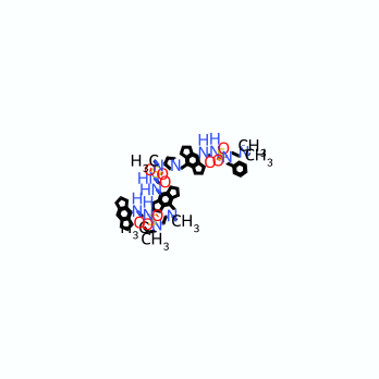 CC(C)CN(CCN(C)Cc1c2c(c(NC(=O)NS(=O)(=O)N(C)C3CCN(Cc4c5c(c(NC(=O)NS(=O)(=O)N(CCN(C)C)Cc6ccccc6)c6c4CCC6)CCC5)C3)c3c1CCC3)CCC2)S(=O)(=O)NC(=O)Nc1c2c(cc3c1CCC3)CCC2